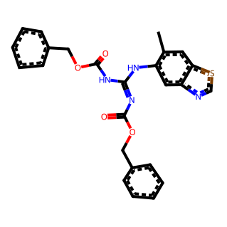 Cc1cc2scnc2cc1NC(=NC(=O)OCc1ccccc1)NC(=O)OCc1ccccc1